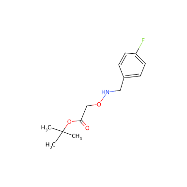 CC(C)(C)OC(=O)CONCc1ccc(F)cc1